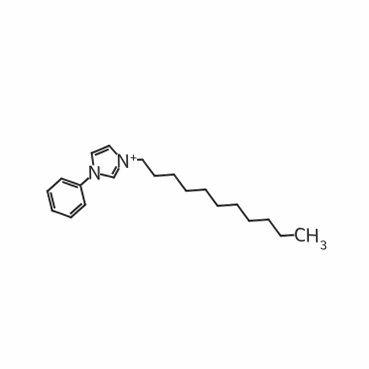 CCCCCCCCCCC[n+]1ccn(-c2ccccc2)c1